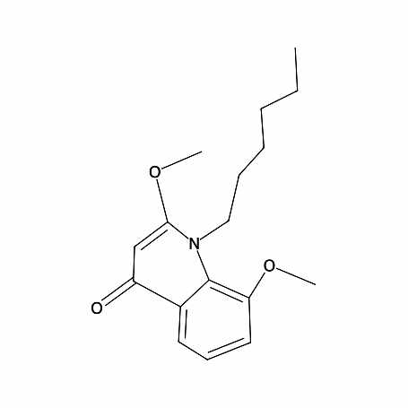 CCCCCCn1c(OC)cc(=O)c2cccc(OC)c21